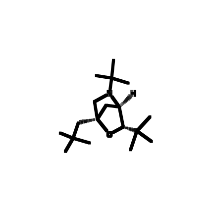 CC(C)(C)C[C@]12C[C@H]([C@H](C(C)(C)C)O1)N(C(C)(C)C)C2